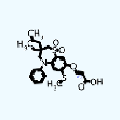 CCCC1(CC)CN(c2ccccc2)c2cc(SC)c(O/C=C/C(=O)O)cc2S(=O)(=O)C1